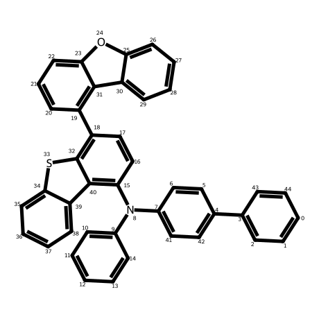 c1ccc(-c2ccc(N(c3ccccc3)c3ccc(-c4cccc5oc6ccccc6c45)c4sc5ccccc5c34)cc2)cc1